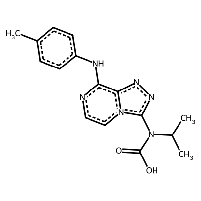 Cc1ccc(Nc2nccn3c(N(C(=O)O)C(C)C)nnc23)cc1